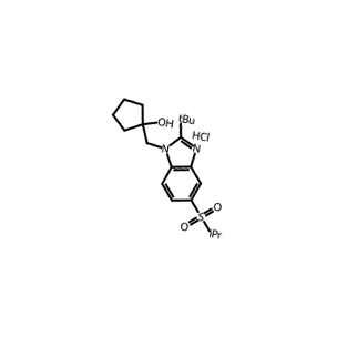 CC(C)S(=O)(=O)c1ccc2c(c1)nc(C(C)(C)C)n2CC1(O)CCCC1.Cl